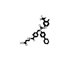 Cc1ccc(NC(=O)N(Cc2ccc(C(=O)NCCC(=O)O)cc2)c2ccc(C3CCCCC3)cc2)cc1C(F)(F)F